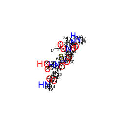 CCCC(=O)OCN(C(=O)[C@@H](NC(=O)[C@H]1CCCCN1C)[C@@H](C)CC)[C@H](C[C@@H](OC(C)=O)c1nc(C(=O)N[C@@H](Cc2ccc(OC(=O)[C@H]3CCCN3)cc2)C[C@H](C)C(=O)O)cs1)C(C)C